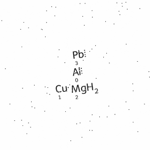 [Al].[Cu].[MgH2].[Pb]